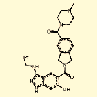 CC(C)CNc1n[nH]c2cc(O)c(C(=O)N3Cc4ccc(C(=O)N5CCN(C)CC5)cc4C3)cc12